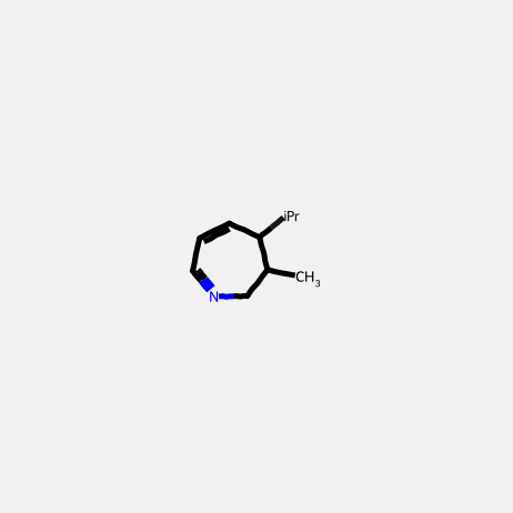 CC(C)C1C=CC=NCC1C